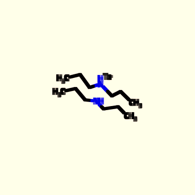 CCCNCCC.CCCNCCC.[Ta]